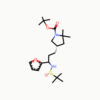 CC(C)(C)OC(=O)N1C[C@@H](CCC(N[S+]([O-])C(C)(C)C)c2ccco2)CC1(C)C